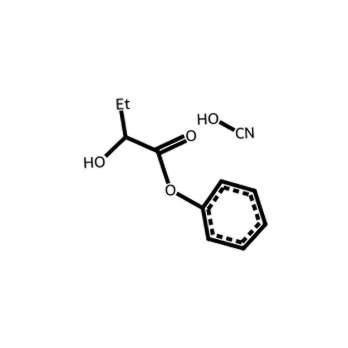 CCC(O)C(=O)Oc1ccccc1.N#CO